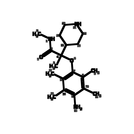 CNC(=O)C(C)(Oc1c(C)c(C)c(N)c(C)c1C)C1CCNCC1